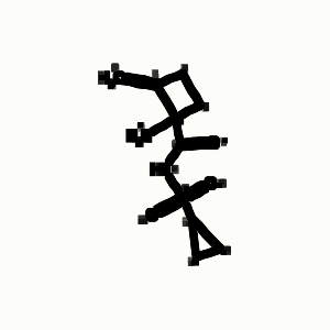 C=C1CCC1(N)C(=O)NS(=O)(=O)C1CC1